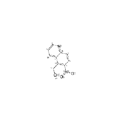 O=[N+]([O-])c1ccc2ncccc2c1CO